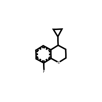 Fc1cccc2c1SCCC2C1CC1